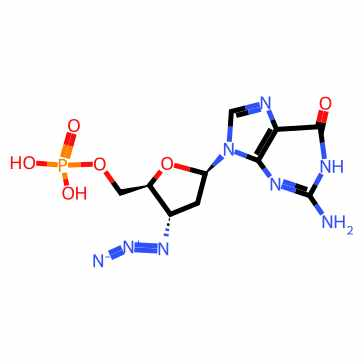 [N-]=[N+]=N[C@H]1C[C@H](n2cnc3c(=O)[nH]c(N)nc32)O[C@@H]1COP(=O)(O)O